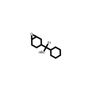 CCCCC(CC)(C1CCCCC1)C1CCC2OC2C1